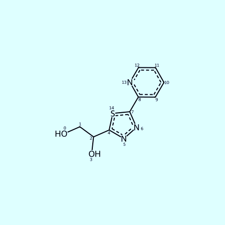 OCC(O)c1nnc(-c2ccccn2)s1